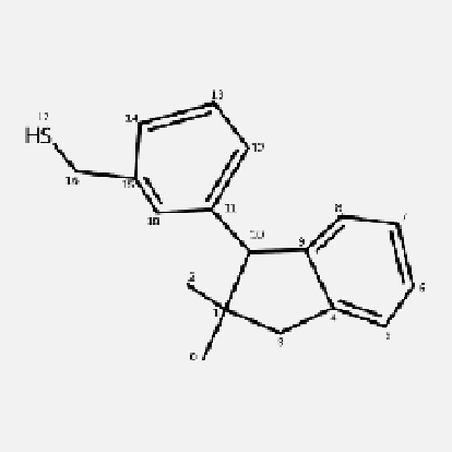 CC1(C)Cc2ccccc2C1c1cccc(CS)c1